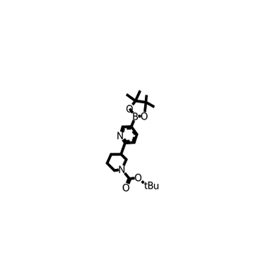 CC(C)(C)OC(=O)N1CCCC(c2ccc(B3OC(C)(C)C(C)(C)O3)cn2)C1